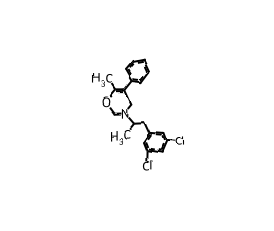 CC1=C(c2ccccc2)CN(C(C)Cc2cc(Cl)cc(Cl)c2)CO1